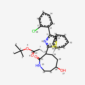 CC(C)(C)OC(=O)C[C@@]1(c2nc(-c3ccccc3Cl)cs2)C(=O)NCCC(O)C[C@H]1c1ccccc1